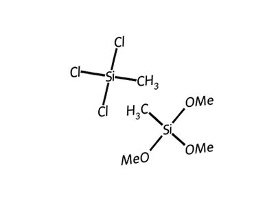 CO[Si](C)(OC)OC.C[Si](Cl)(Cl)Cl